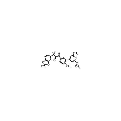 COc1cc(-c2nc(NC(=O)C3(c4ccc5c(c4)OC(F)(F)O5)CC3)ccc2C)cc(C)n1